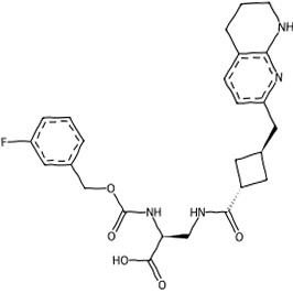 O=C(N[C@@H](CNC(=O)[C@H]1C[C@H](Cc2ccc3c(n2)NCCC3)C1)C(=O)O)OCc1cccc(F)c1